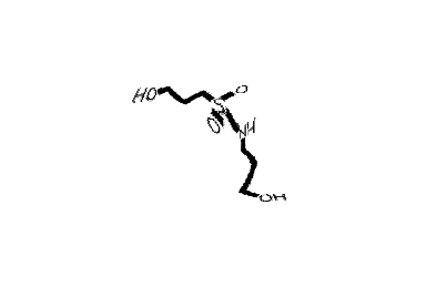 O=S(=O)(CCCO)NCCCO